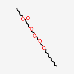 CCCCCCCCCOCCOCCOCCOCCCC(=O)OCCCCC